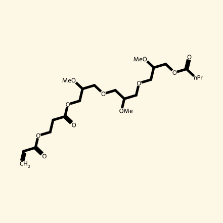 C=CC(=O)OCCC(=O)OCC(COCC(COCC(COC(=O)CCC)OC)OC)OC